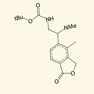 CNC(CNC(=O)OC(C)(C)C)c1ccc2c(c1C)COC2=O